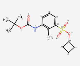 Cc1c(NC(=O)OC(C)(C)C)cccc1S(=O)(=O)OC1CCC1